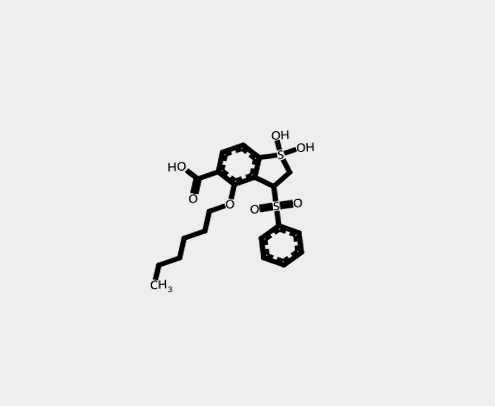 CCCCCCOc1c(C(=O)O)ccc2c1C(S(=O)(=O)c1ccccc1)CS2(O)O